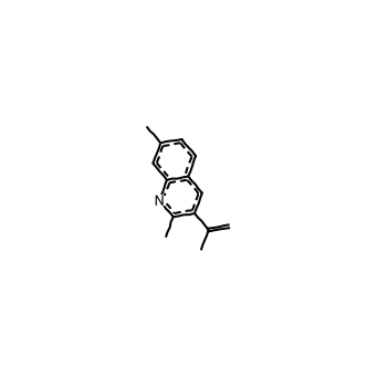 C=C(C)c1cc2ccc(C)cc2nc1C